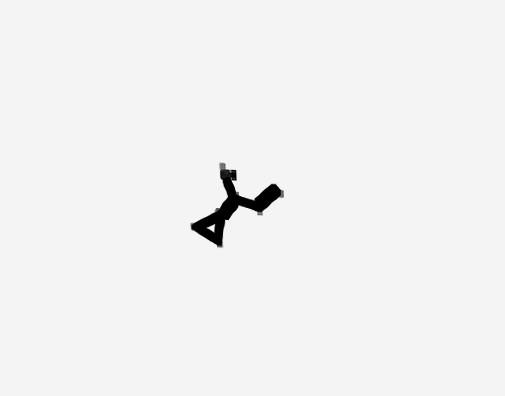 C=CC(O)=C1CC1